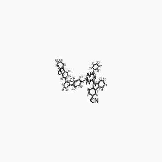 N#Cc1ccc2c(c1)c1ccccc1n2-c1nc(-c2ccccc2)nc(-c2ccc3c(c2)oc2c(-c4ccc5c(c4)oc4ccccc45)cccc23)n1